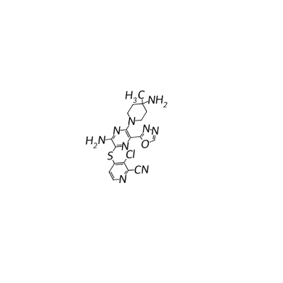 CC1(N)CCN(c2nc(N)c(Sc3ccnc(C#N)c3Cl)nc2-c2nnco2)CC1